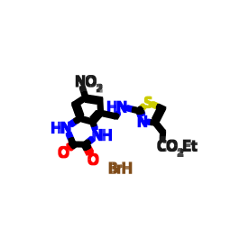 Br.CCOC(=O)Cc1csc(NCc2cc([N+](=O)[O-])cc3[nH]c(=O)c(=O)[nH]c23)n1